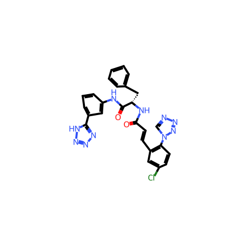 O=C(/C=C/c1cc(Cl)ccc1-n1cnnn1)N[C@@H](Cc1ccccc1)C(=O)Nc1cccc(-c2nnn[nH]2)c1